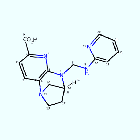 O=C(O)c1ccc2c(n1)N(CNc1ccccn1)[C@H]1CCN2C1